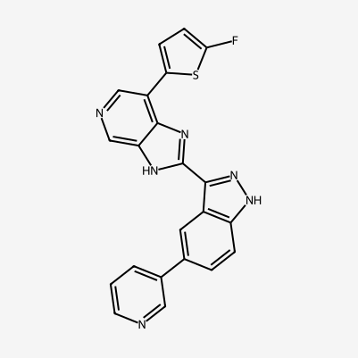 Fc1ccc(-c2cncc3[nH]c(-c4n[nH]c5ccc(-c6cccnc6)cc45)nc23)s1